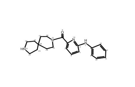 O=C(c1cccc(Nc2ccccc2)n1)N1CCC2(CCNCC2)CC1